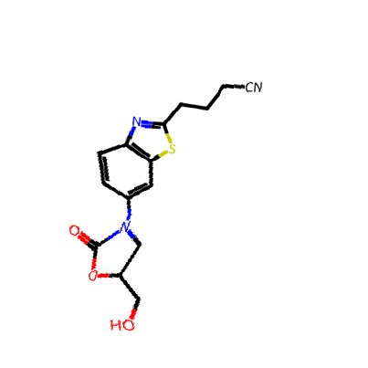 N#CCCCc1nc2ccc(N3CC(CO)OC3=O)cc2s1